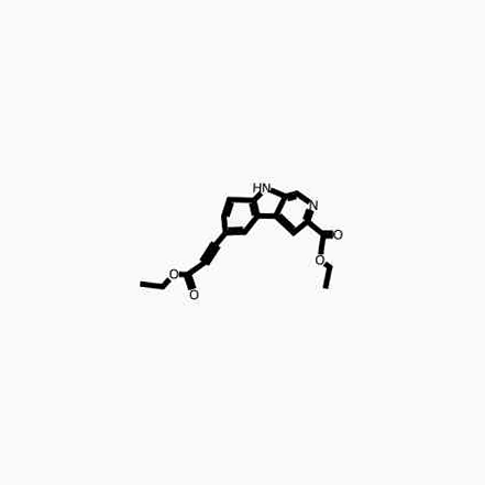 CCOC(=O)C#Cc1ccc2[nH]c3cnc(C(=O)OCC)cc3c2c1